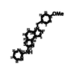 COc1ccc(Cn2ncc3c4nc(Nc5ncccn5)sc4ccc32)cc1